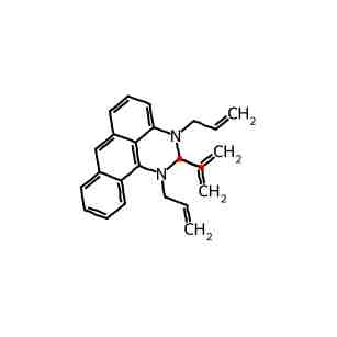 C=CCN(CC=C)c1cccc2cc3ccccc3c(N(CC=C)CC=C)c12